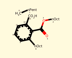 CCCCCC.CCCCCCCCOC(=O)c1c(CCCCCCCC)cccc1C(=O)O